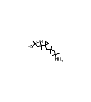 CC(C)(N)CC(C)(C)CC1(C(C)(C)CC(C)(O)S)CC1